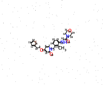 Cc1c(Cn2ccc(OCCc3cccs3)cc2=O)cccc1NCC(=O)N1CCOCC1